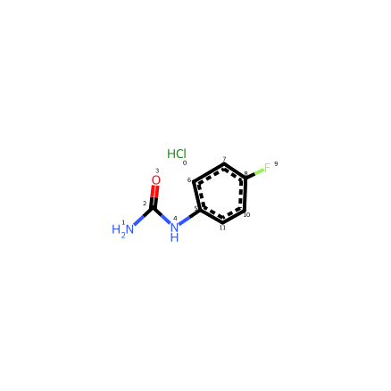 Cl.NC(=O)Nc1ccc(F)cc1